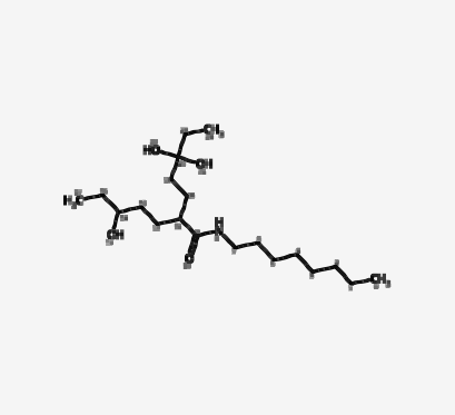 CCCCCCCCNC(=O)C(CCC(O)CC)CCC(O)(O)CC